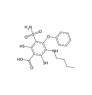 CCCCNc1c(S)c(C(=O)O)c(S)c(S(N)(=O)=O)c1Oc1ccccc1